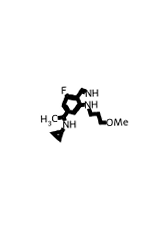 COCCCNc1cc(C(C)NC2CC2)cc(F)c1C=N